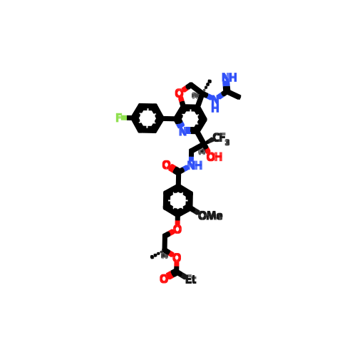 CCC(=O)O[C@H](C)COc1ccc(C(=O)NC[C@@](O)(c2cc3c(c(-c4ccc(F)cc4)n2)OC[C@@]3(C)NC(C)=N)C(F)(F)F)cc1OC